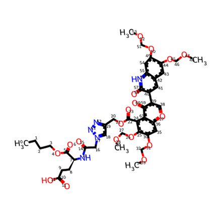 CCCCOC(=O)[C@H](CCC(=O)O)NC(=O)Cn1cc(COC(=O)c2c(OCOC)c(OCOC)cc3occ(-c4cc5cc(OCOC)c(OCOC)cc5[nH]c4=O)c(=O)c23)nn1